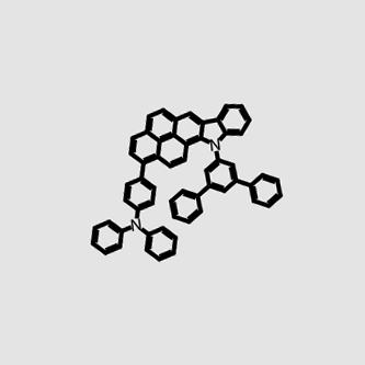 c1ccc(-c2cc(-c3ccccc3)cc(-n3c4ccccc4c4cc5ccc6ccc(-c7ccc(N(c8ccccc8)c8ccccc8)cc7)c7ccc(c5c67)c43)c2)cc1